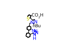 CCCCc1ncc(-c2sccc2C(=O)O)n1Cc1ccc(-c2ccccc2-c2nnn[nH]2)cc1